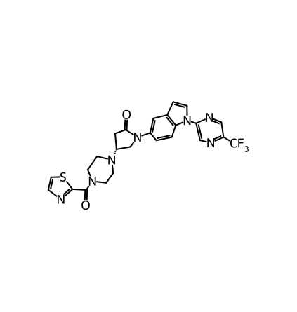 O=C(c1nccs1)N1CCN([C@@H]2CC(=O)N(c3ccc4c(ccn4-c4cnc(C(F)(F)F)cn4)c3)C2)CC1